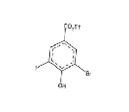 CCOC(=O)c1cc(Br)c(O)c(I)c1